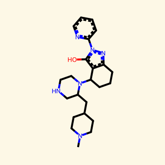 CN1CCC(CC2CNCCN2C2CCCc3nn(-c4ccccn4)c(O)c32)CC1